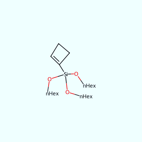 CCCCCCO[Si](OCCCCCC)(OCCCCCC)C1=CCC1